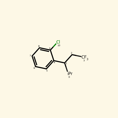 CC(C)C(CC(F)(F)F)c1ccccc1Cl